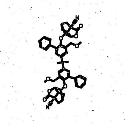 COCc1cc(C(C)(C)c2cc(COC)c(OC3C4CC5C3OC(=O)C5(C#N)C4)c(-c3ccccc3)c2)cc(-c2ccccc2)c1OC1C2CC3C1OC(=O)C3(C#N)C2